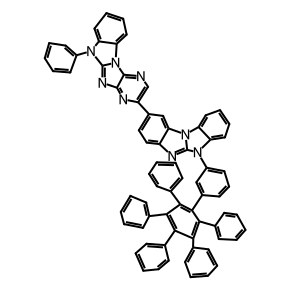 c1ccc(-c2c(-c3ccccc3)c(-c3ccccc3)c(-c3cccc(-n4c5ccccc5n5c6cc(-c7cnc8c(n7)nc7n(-c9ccccc9)c9ccccc9n87)ccc6nc45)c3)c(-c3ccccc3)c2-c2ccccc2)cc1